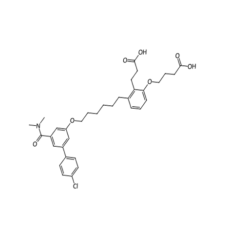 CN(C)C(=O)c1cc(OCCCCCCc2cccc(OCCCC(=O)O)c2CCC(=O)O)cc(-c2ccc(Cl)cc2)c1